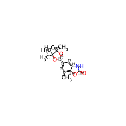 Cc1cc(B2OC(C)(C)C(C)(C)O2)cc2[nH]c(=O)oc12